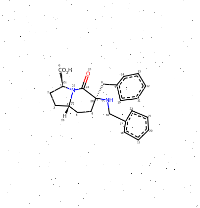 O=C(O)[C@@H]1CC[C@H]2CC[C@](Cc3ccccc3)(NCc3ccccc3)C(=O)N21